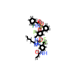 CCCCc1nn(-c2cc(NC(=O)CC)ccc2C(F)(F)F)c(=O)n1Cc1ccc(-c2ccccc2S(=O)(=O)NC(=O)c2ccccc2F)cc1F